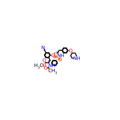 COC(=O)/C(=C\c1ccc(C#N)cc1OC[C@H](Cc1ccc(OC2CCNCC2)cc1)NS(=O)(=O)c1ccccc1)NC(C)=O